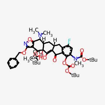 CN(C(=O)OC(C)(C)C)c1cc(F)c2c(c1OC(=O)OC(C)(C)C)C(=O)C1=C(O)[C@]3(O[Si](C)(C)C(C)(C)C)C(=O)c4c(OCc5ccccc5)noc4[C@@H](N(C)C)[C@@H]3C[C@@H]1C2